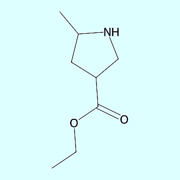 CCOC(=O)C1CNC(C)C1